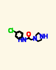 O=C(CN1CCNCC1)Nc1ccc(Cl)cc1